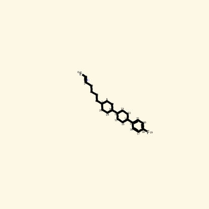 F/C=C/CCCCC1CCC(C2CCC(c3ccc(F)cc3)CC2)CC1